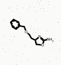 NC1=NC(CCOCc2ccccc2)CO1